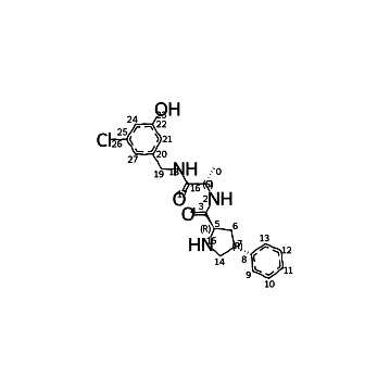 C[C@H](NC(=O)[C@H]1C[C@H](c2ccccc2)CN1)C(=O)NCc1cc(O)cc(Cl)c1